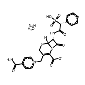 NC(=O)c1cc[n+](CC2=C(C(=O)[O-])N3C(=O)[C@@H](NC(=O)[C@@H](c4ccccc4)S(=O)(=O)O)[C@H]3SC2)cc1.O.[NaH]